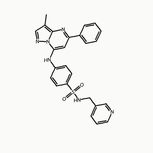 Cc1cnn2c(Nc3ccc(S(=O)(=O)NCc4cccnc4)cc3)cc(-c3ccccc3)nc12